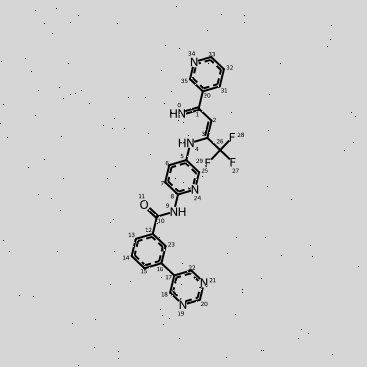 N=C(/C=C(\Nc1ccc(NC(=O)c2cccc(-c3cncnc3)c2)nc1)C(F)(F)F)c1cccnc1